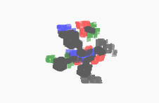 COc1ccc([C@H](NC(=O)[C@H](Cc2ccc(CN)cc2)NC(=O)C(F)(F)c2cccc(Cl)c2)C(=O)N[C@H](C(=O)C(F)(F)F)C(C)C)cc1.O=C(O)C(F)(F)F